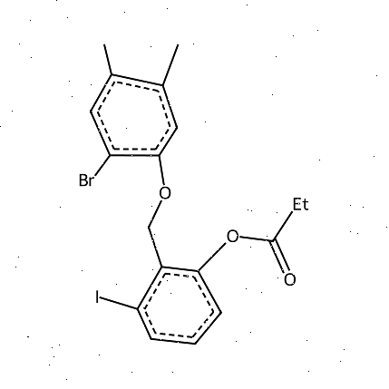 CCC(=O)Oc1cccc(I)c1COc1cc(C)c(C)cc1Br